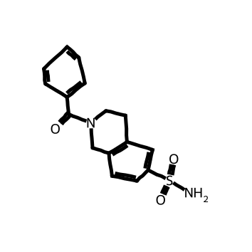 NS(=O)(=O)c1ccc2c(c1)CCN(C(=O)c1ccccc1)C2